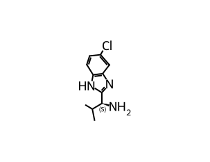 CC(C)[C@H](N)c1nc2cc(Cl)ccc2[nH]1